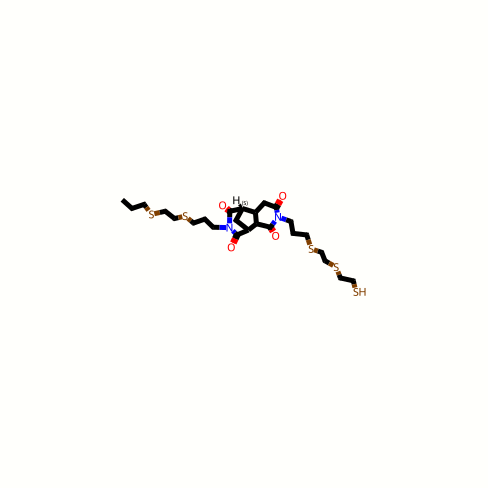 CCCSCCSCCCN1C(=O)C2C[C@H](C1=O)C1CC(=O)N(CCCSCCSCCS)C(=O)C21